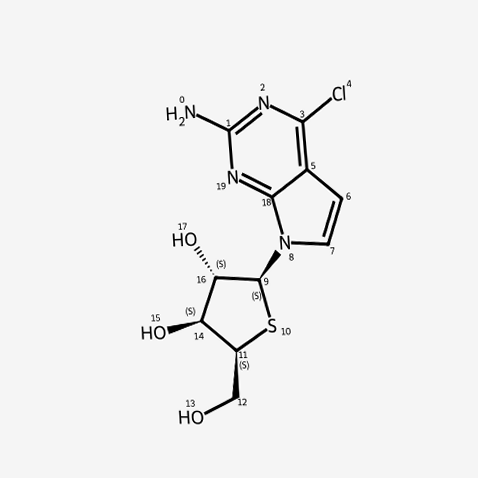 Nc1nc(Cl)c2ccn([C@H]3S[C@@H](CO)[C@@H](O)[C@@H]3O)c2n1